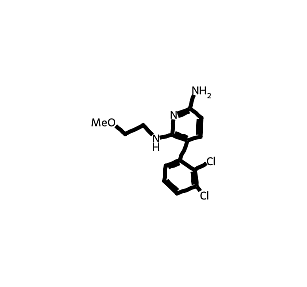 COCCNc1nc(N)ccc1-c1cccc(Cl)c1Cl